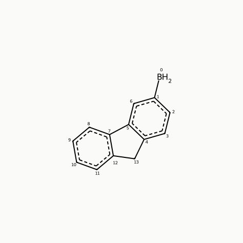 Bc1ccc2c(c1)-c1ccccc1C2